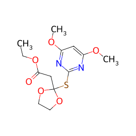 CCOC(=O)CC1(Sc2nc(OC)cc(OC)n2)OCCO1